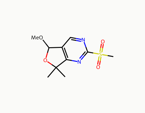 COC1OC(C)(C)c2nc(S(C)(=O)=O)ncc21